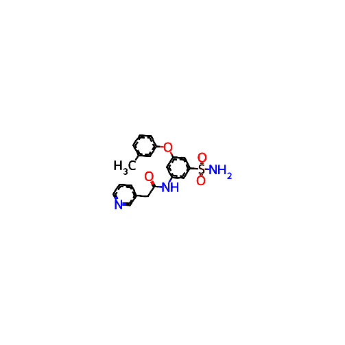 Cc1cccc(Oc2cc(NC(=O)Cc3cccnc3)cc(S(N)(=O)=O)c2)c1